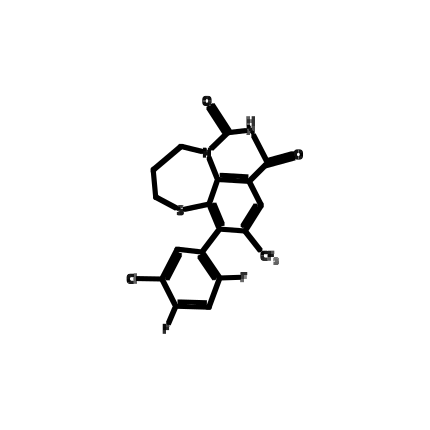 O=c1[nH]c(=O)n2c3c(c(-c4cc(Cl)c(F)cc4F)c(C(F)(F)F)cc13)SCCC2